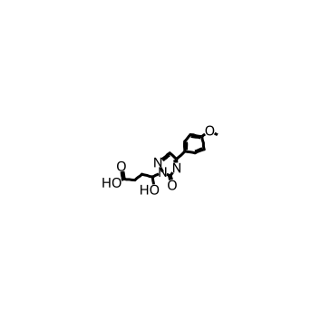 COc1ccc(-c2cnn(C(O)CCC(=O)O)c(=O)n2)cc1